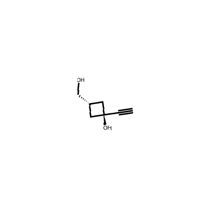 C#C[C@]1(O)C[C@H](CO)C1